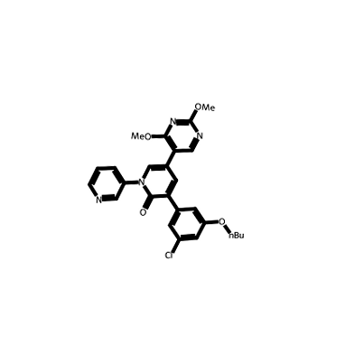 CCCCOc1cc(Cl)cc(-c2cc(-c3cnc(OC)nc3OC)cn(-c3cccnc3)c2=O)c1